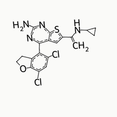 C=C(NC1CC1)c1cc2c(-c3c(Cl)cc(Cl)c4c3CCO4)nc(N)nc2s1